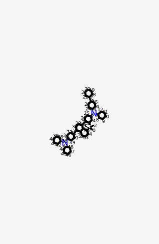 C[Si]1(C)c2cc(N(c3ccccc3)c3ccc(-c4ccccc4)cc3)ccc2-c2ccc(-c3ccc(N(c4ccccc4)c4ccccc4)cc3)c3cccc1c23